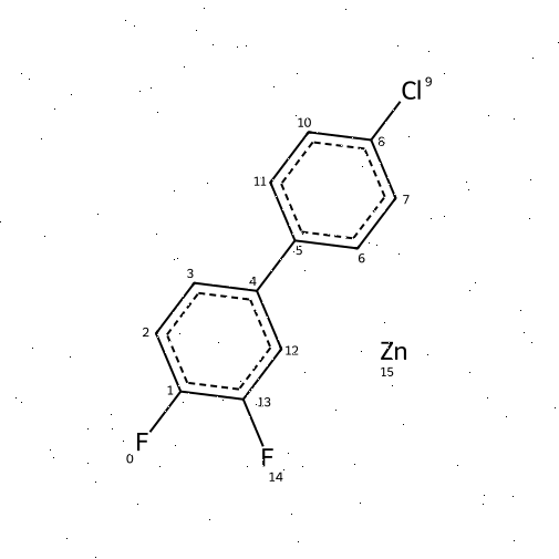 Fc1ccc(-c2ccc(Cl)cc2)cc1F.[Zn]